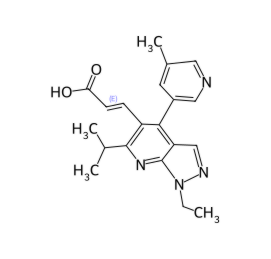 CCn1ncc2c(-c3cncc(C)c3)c(/C=C/C(=O)O)c(C(C)C)nc21